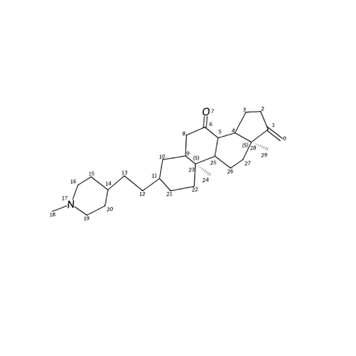 C=C1CCC2C3C(=O)CC4CC(CCC5CCN(C)CC5)CC[C@]4(C)C3CC[C@]12C